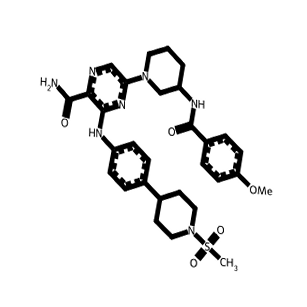 COc1ccc(C(=O)NC2CCCN(c3cnc(C(N)=O)c(Nc4ccc(C5CCN(S(C)(=O)=O)CC5)cc4)n3)C2)cc1